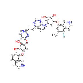 Cc1cc(O[C@H]2C[C@@H](n3ccc4c(CCc5nccc(O[C@@H]6C[C@H](Oc7cccc8c7CNCC8)[C@@H](O)[C@H]6O)n5)ncnc43)[C@H](O)[C@@H]2O)c2c(c1F)CCNC2